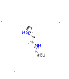 CCCCCNCCNC(C)C